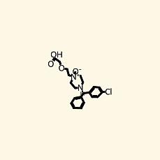 O=C(O)COCC[N+]1([O-])CCN([C@H](c2ccccc2)c2ccc(Cl)cc2)CC1